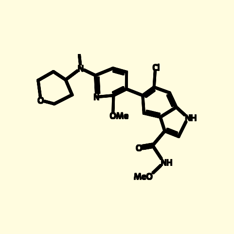 CONC(=O)c1c[nH]c2cc(Cl)c(-c3ccc(N(C)C4CCOCC4)nc3OC)cc12